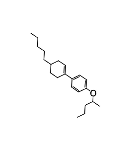 CCCCCC1CC=C(c2ccc(OC(C)CCC)cc2)CC1